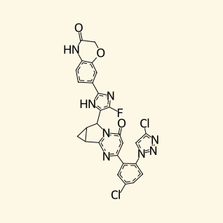 O=C1COc2cc(-c3nc(F)c(C4C5CC5c5nc(-c6cc(Cl)ccc6-n6cc(Cl)nn6)cc(=O)n54)[nH]3)ccc2N1